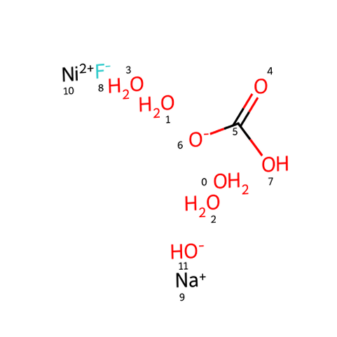 O.O.O.O.O=C([O-])O.[F-].[Na+].[Ni+2].[OH-]